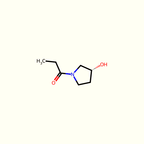 CCC(=O)N1CC[C@@H](O)C1